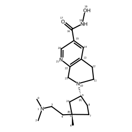 CN(C)CC[C@@]1(C)CC[C@@H](N2CCc3cc(C(=O)NO)cnc3C2)C1